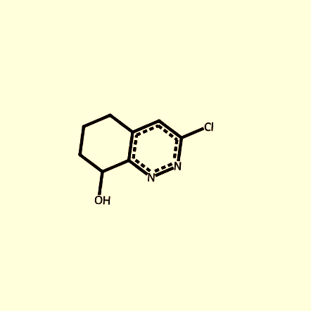 OC1CCCc2cc(Cl)nnc21